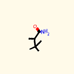 CC(C(N)=O)C(C)(C)C